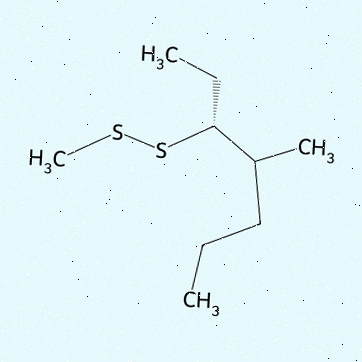 CCCC(C)[C@@H](CC)SSC